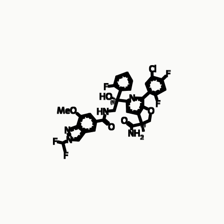 COc1cc(C(=O)NC[C@](O)(c2cc3c(c(-c4cc(Cl)c(F)cc4F)n2)OC[C@]3(C)C(N)=O)c2ccccc2F)cc2cn(C(F)F)nc12